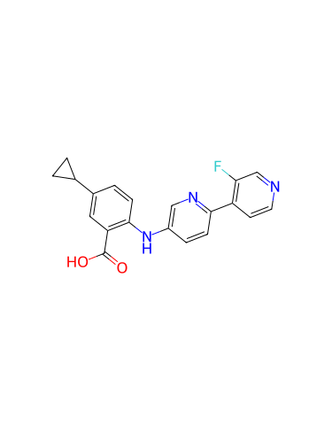 O=C(O)c1cc(C2CC2)ccc1Nc1ccc(-c2ccncc2F)nc1